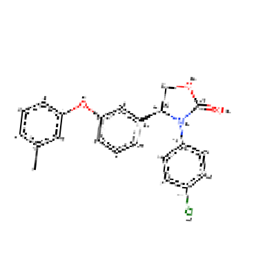 Cc1cccc(Oc2cccc([C@H]3COC(=O)N3c3ccc(Cl)cc3)c2)c1